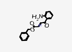 Nc1ccccc1C(=O)/C=C/C(=O)OCc1ccccc1